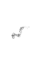 CC(C)(Cc1ccc(Oc2ccc(C(=O)O)cn2)cc1)NC[C@H](O)COC1=C2C(=Nc3ccccc32)CC=C1